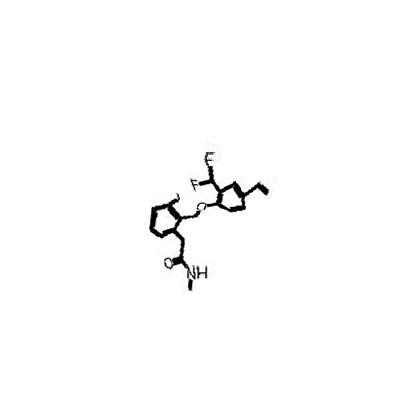 CCc1ccc(OCc2c(I)cccc2CC(=O)NC)c(C(F)F)c1